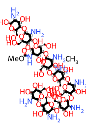 COC(=O)N[C@H]1[C@H](O[C@H]2[C@H](O)[C@@H](N)[C@H](O[C@H]3[C@H](O)[C@@H](N)[C@H](O)O[C@@H]3CO)O[C@@H]2CO)O[C@H](CO)[C@@H](O[C@@H]2O[C@H](CO)[C@@H](O[C@@H]3O[C@H](CO)[C@@H](O[C@@H]4O[C@H](CO)[C@@H](O[C@@H]5O[C@H](CO)[C@@H](O[C@@H]6O[C@H](CO)[C@@H](O[C@@H]7O[C@H](CO)[C@@H](O)[C@H](O)[C@H]7N)[C@H](O)[C@H]6N)[C@H](O)[C@H]5N)[C@H](O)[C@H]4N)[C@H](O)[C@H]3N)[C@H](O)[C@H]2N)[C@@H]1O.[CH3]